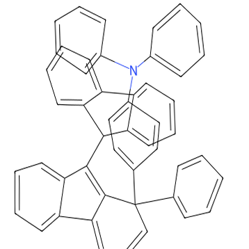 C1=CC(c2ccccc2)(c2ccc(N(c3ccccc3)c3ccccc3)cc2)C2=C(C3c4ccccc4-c4ccccc43)c3ccccc3C2=C1